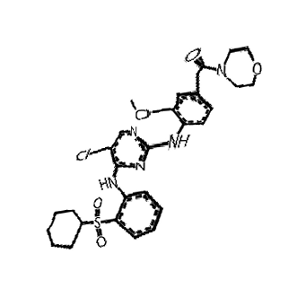 COc1cc(C(=O)N2CCOCC2)ccc1Nc1ncc(Cl)c(Nc2ccccc2S(=O)(=O)C2CCCCC2)n1